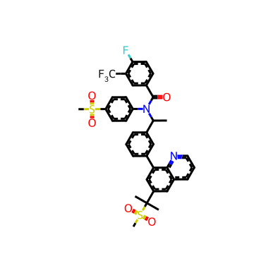 CC(c1cccc(-c2cc(C(C)(C)S(C)(=O)=O)cc3cccnc23)c1)N(C(=O)c1ccc(F)c(C(F)(F)F)c1)c1ccc(S(C)(=O)=O)cc1